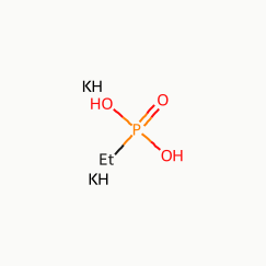 CCP(=O)(O)O.[KH].[KH]